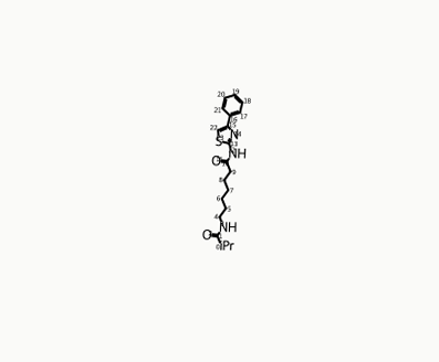 CC(C)C(=O)NCCCCCCC(=O)Nc1nc(-c2ccccc2)cs1